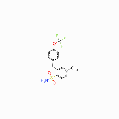 Cc1ccc(S(N)(=O)=O)c(Cc2ccc(OC(F)(F)F)cc2)c1